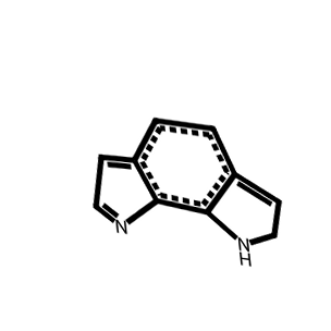 C1=Nc2c3c(ccc2=C1)=CCN3